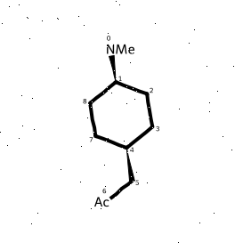 CN[C@H]1CC[C@@H](CC(C)=O)CC1